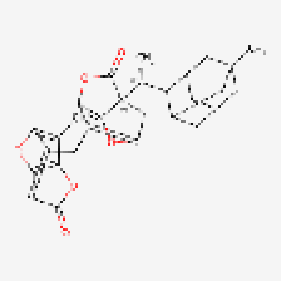 Cc1c2c3oc1c(Cc1c4oc5c1OC(=O)[C@]5([C@H](C)C1C5CC6CC1CC(C)(C6)C5)C4)c3C(=O)O2